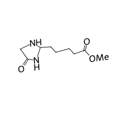 COC(=O)CCCCC1NCC(=O)N1